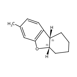 Cc1ccc2c(c1)O[C@H]1CCCC[C@@H]21